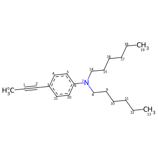 CC#Cc1ccc(N(CCCCCC)CCCCCC)cc1